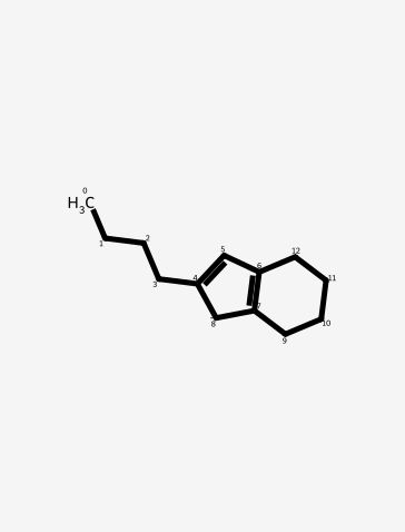 CCCCC1=CC2=C([CH]1)CCCC2